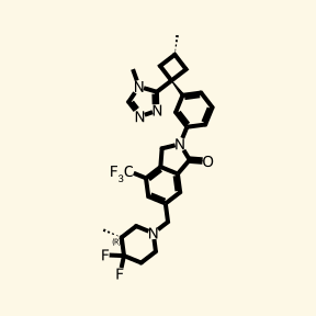 C[C@@H]1CN(Cc2cc3c(c(C(F)(F)F)c2)CN(c2cccc([C@]4(c5nncn5C)C[C@@H](C)C4)c2)C3=O)CCC1(F)F